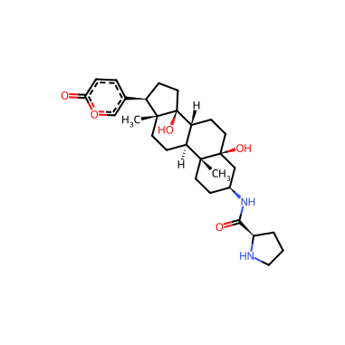 C[C@]12CC[C@H](NC(=O)[C@H]3CCCN3)C[C@@]1(O)CC[C@@H]1[C@@H]2CC[C@]2(C)[C@@H](c3ccc(=O)oc3)CC[C@]12O